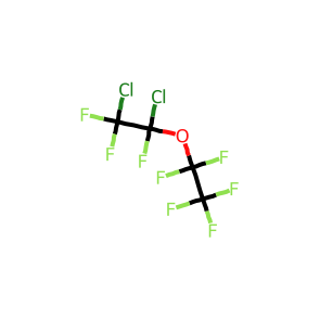 FC(F)(F)C(F)(F)OC(F)(Cl)C(F)(F)Cl